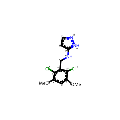 COc1cc(OC)c(Cl)c(CNc2ccn[nH]2)c1Cl